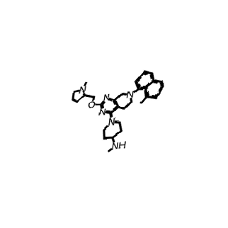 CNC1CCN(c2nc(OCC3CCCN3C)nc3c2CCN(c2cccc4cccc(C)c24)C3)CC1